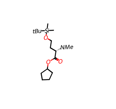 CN[C@@H](CCO[Si](C)(C)C(C)(C)C)C(=O)OC1CCCC1